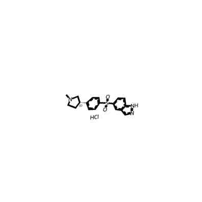 CN1CC[C@@H](c2ccc(S(=O)(=O)c3ccc4[nH]ncc4c3)cc2)C1.Cl